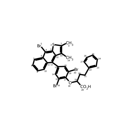 Cc1sc2c(Br)c3ccccc3c(-c3cc(Br)c(OC(CCc4ccccc4)C(=O)O)c(Br)c3)c2c1C